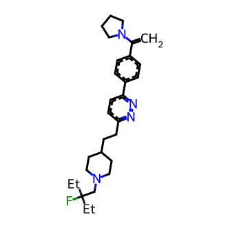 C=C(c1ccc(-c2ccc(CCC3CCN(CC(F)(CC)CC)CC3)nn2)cc1)N1CCCC1